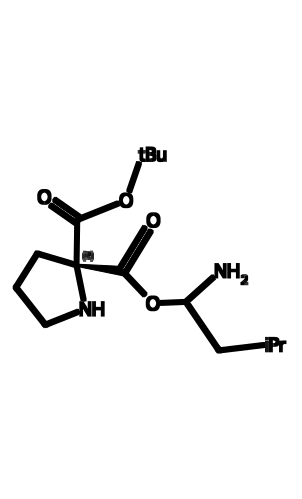 CC(C)CC(N)OC(=O)[C@]1(C(=O)OC(C)(C)C)CCCN1